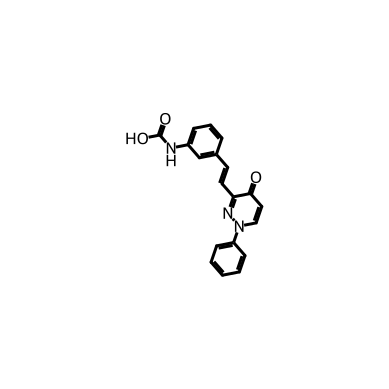 O=C(O)Nc1cccc(C=Cc2nn(-c3ccccc3)ccc2=O)c1